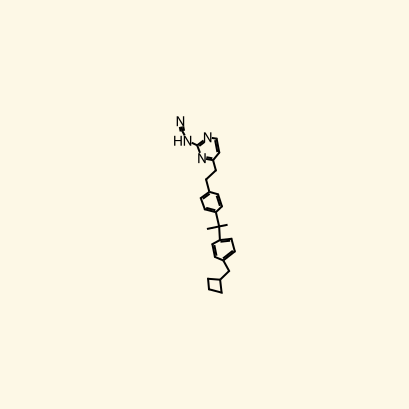 CC(C)(c1ccc(CCc2ccnc(NC#N)n2)cc1)c1ccc(CC2CCC2)cc1